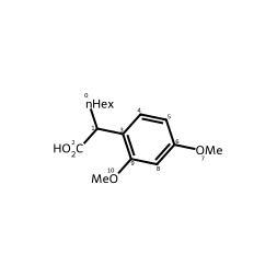 CCCCCCC(C(=O)O)c1ccc(OC)cc1OC